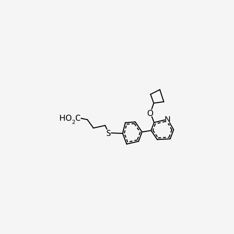 O=C(O)CCCSc1ccc(-c2cccnc2OC2CCC2)cc1